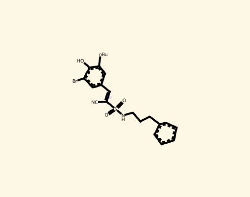 CCCCc1cc(/C=C(\C#N)S(=O)(=O)NCCCc2ccccc2)cc(Br)c1O